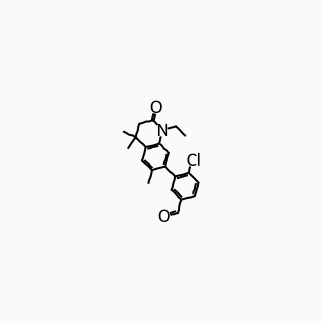 CCN1C(=O)CC(C)(C)c2cc(C)c(-c3cc(C=O)ccc3Cl)cc21